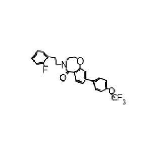 O=C1c2ccc(-c3ccc(OC(F)(F)F)cc3)cc2OCCN1CCc1ccccc1F